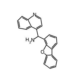 NC(c1ccnc2ccccc12)c1cccc2c1oc1ccccc12